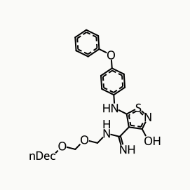 CCCCCCCCCCOCOCNC(=N)c1c(O)nsc1Nc1ccc(Oc2ccccc2)cc1